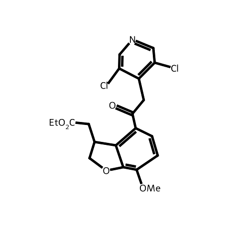 CCOC(=O)CC1COc2c(OC)ccc(C(=O)Cc3c(Cl)cncc3Cl)c21